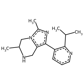 Cc1nc(-c2cccnc2C(C)C)c2n1CC(C)NC2